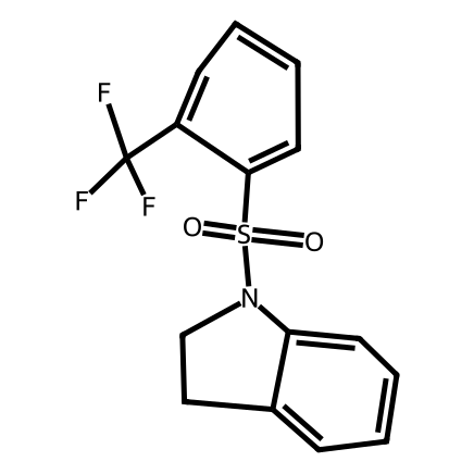 O=S(=O)(c1ccccc1C(F)(F)F)N1CCc2ccccc21